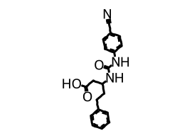 N#Cc1ccc(NC(=O)NC(CCc2ccccc2)CC(=O)O)cc1